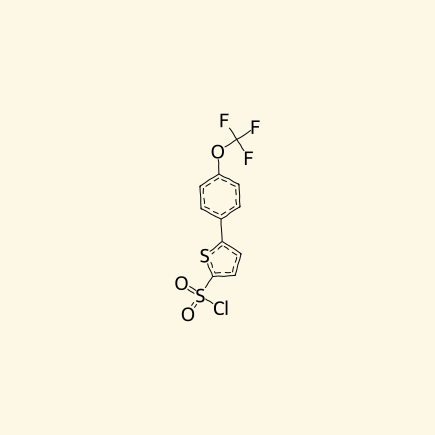 O=S(=O)(Cl)c1ccc(-c2ccc(OC(F)(F)F)cc2)s1